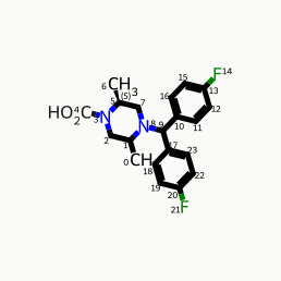 CC1CN(C(=O)O)[C@@H](C)CN1C(c1ccc(F)cc1)c1ccc(F)cc1